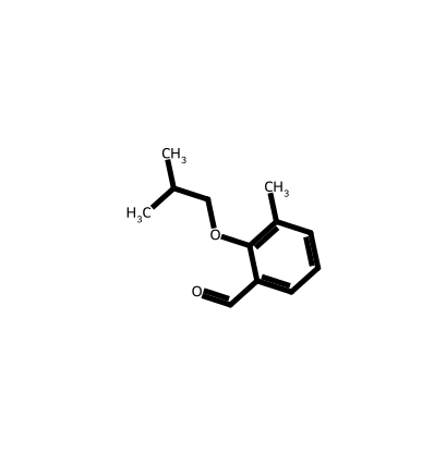 Cc1cccc(C=O)c1OCC(C)C